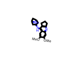 COc1cc2nc3c(c(NC4CC5CC(C4)N5)c2cc1OC)CCC3